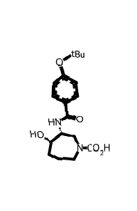 CC(C)(C)Oc1ccc(C(=O)N[C@@H]2CN(C(=O)O)CCC[C@H]2O)cc1